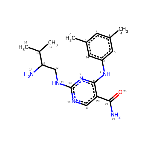 Cc1cc(C)cc(Nc2nc(NCC(N)C(C)C)ncc2C(N)=O)c1